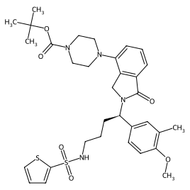 COc1ccc([C@@H](CCCNS(=O)(=O)c2cccs2)N2Cc3c(cccc3N3CCN(C(=O)OC(C)(C)C)CC3)C2=O)cc1C